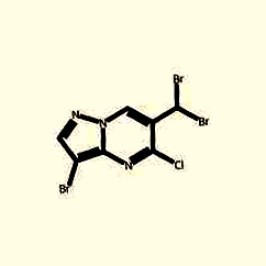 Clc1nc2c(Br)cnn2cc1C(Br)Br